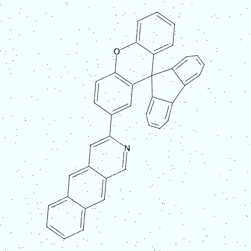 c1ccc2c(c1)Oc1ccc(-c3cc4cc5ccccc5cc4cn3)cc1C21c2ccccc2-c2ccccc21